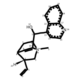 C=C[C@H]1C[N+]2(C)CCC1C=C2C(O)c1ccnc2ccccc12